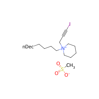 CCCCCCCCCCCCCC[N+]1(CC#CI)CCCCC1.CS(=O)(=O)[O-]